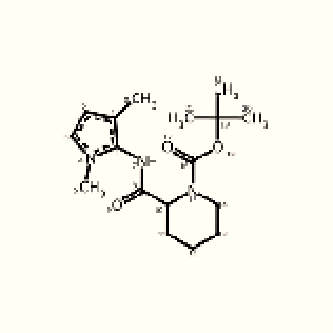 Cc1ccn(C)c1NC(=O)C1CCCCN1C(=O)OC(C)(C)C